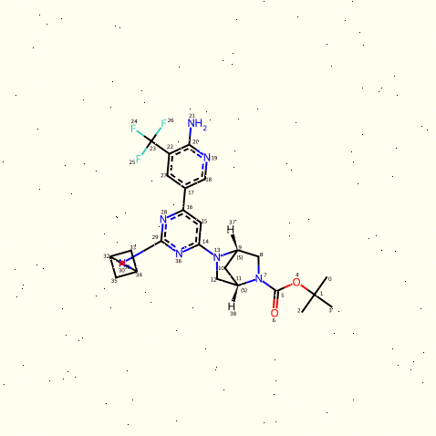 CC(C)(C)OC(=O)N1C[C@@H]2C[C@H]1CN2c1cc(-c2cnc(N)c(C(F)(F)F)c2)nc(N2CC3CC2C3)n1